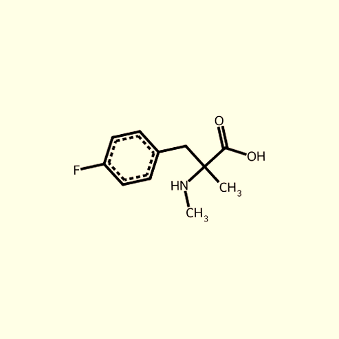 CNC(C)(Cc1ccc(F)cc1)C(=O)O